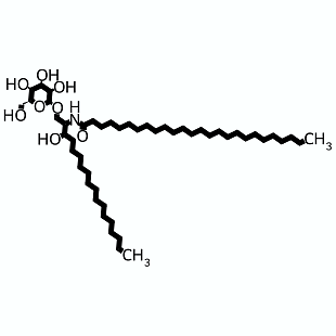 CCCCCCCCCCCCCCCCCCCCCCCCCC(=O)NC(CO[C@H]1O[C@H](CO)[C@H](O)[C@H](O)[C@H]1O)C(O)CCCCCCCCCCCCCCC